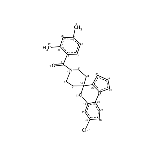 Cc1ccc(C(=O)N2CCC3(CC2)Oc2cc(Cl)ccc2-n2cccc23)c(C)c1